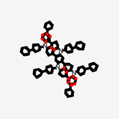 c1ccc(-c2ccc(N(c3ccc(-c4ccccc4)cc3)c3ccc(-c4cc(N(c5ccc(-c6ccccc6)cc5)c5ccc(-c6ccccc6)cc5)c(-c5ccc(N(c6ccc(-c7ccccc7)cc6)c6ccc(-c7ccccc7)cc6)cc5)cc4N(c4ccc(-c5ccccc5)cc4)c4ccc(-c5ccccc5)cc4)cc3)cc2)cc1